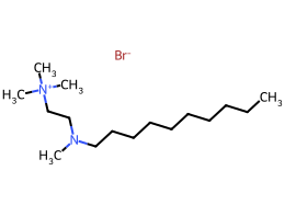 CCCCCCCCCCN(C)CC[N+](C)(C)C.[Br-]